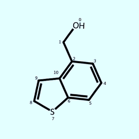 OCc1cccc2sccc12